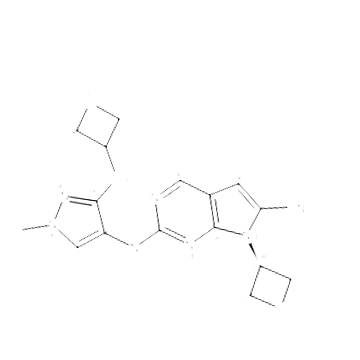 C[C@@H]1OC[C@H]1n1c(C#N)cc2cnc(Nc3cn(C)nc3OC3COC3)nc21